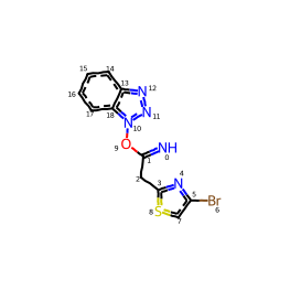 N=C(Cc1nc(Br)cs1)On1nnc2ccccc21